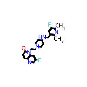 Cc1nc(C)c(CNC2CCN(CCn3c(=O)ccc4ncc(F)cc43)CC2)cc1F